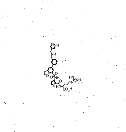 N=C(N)NCCC[C@H](NC(=O)c1sccc1NS(=O)(=O)c1cc(-c2cccc(CNCc3cn[nH]c3)c2)cc2c1OCC2)C(=O)O